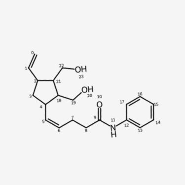 C=CC1CC(/C=C\CCC(=O)Nc2ccccc2)C(CO)C1CO